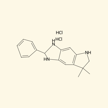 CC1(C)CNc2cc3c(cc21)NC(c1ccccc1)N3.Cl.Cl